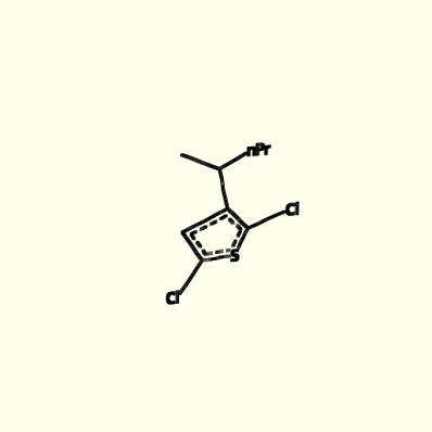 CCCC(C)c1cc(Cl)sc1Cl